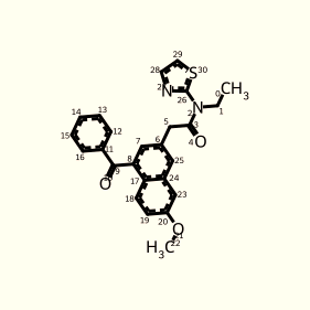 CCN(C(=O)Cc1cc(C(=O)c2ccccc2)c2ccc(OC)cc2c1)c1nccs1